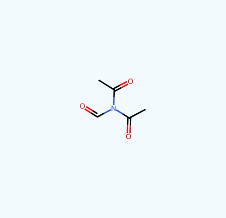 CC(=O)N(C=O)C(C)=O